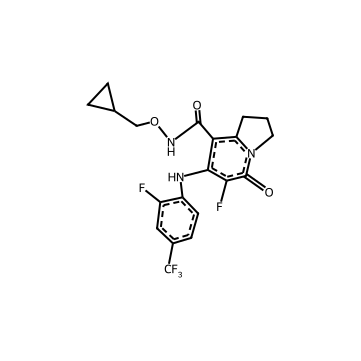 O=C(NOCC1CC1)c1c(Nc2ccc(C(F)(F)F)cc2F)c(F)c(=O)n2c1CCC2